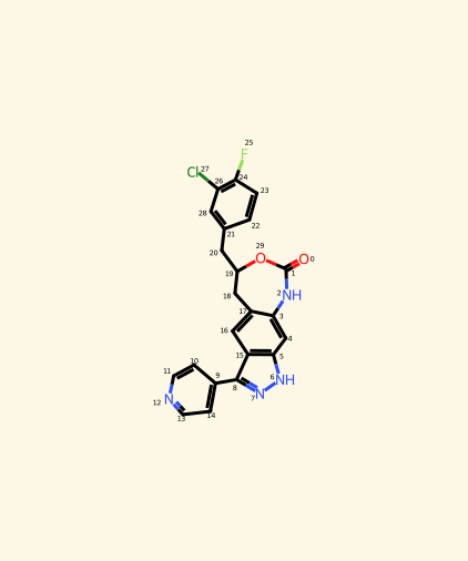 O=C1Nc2cc3[nH]nc(-c4ccncc4)c3cc2CC(Cc2ccc(F)c(Cl)c2)O1